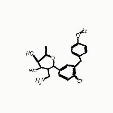 CCOc1ccc(Cc2cc(C3OC(C)C(O)C(O)C3CN)ccc2Cl)cc1